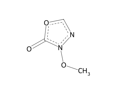 COn1ncoc1=O